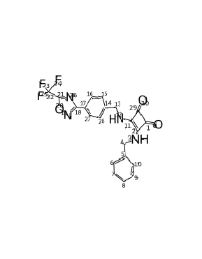 O=c1c(NCc2ccccc2)c(NCc2ccc(-c3noc(C(F)(F)F)n3)cc2)c1=O